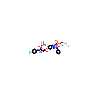 CCOC(=O)[C@H](Cc1ccc(OCCc2nc(-c3ccc(F)cc3)oc2C)cc1)NCc1ccc(F)cc1